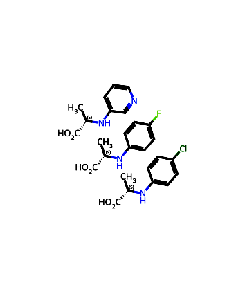 C[C@H](Nc1ccc(Cl)cc1)C(=O)O.C[C@H](Nc1ccc(F)cc1)C(=O)O.C[C@H](Nc1cccnc1)C(=O)O